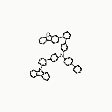 c1ccc(-c2ccc(N(c3ccc(-c4cccc(-n5c6ccccc6c6ccccc65)c4)cc3)c3ccc(-c4ccccc4-c4ccc5c(c4)oc4ccccc45)cc3)cc2)cc1